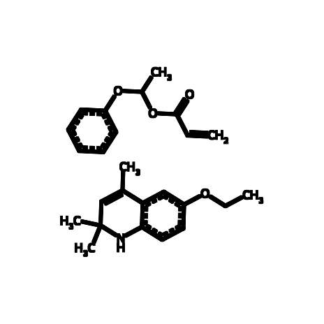 C=CC(=O)OC(C)Oc1ccccc1.CCOc1ccc2c(c1)C(C)=CC(C)(C)N2